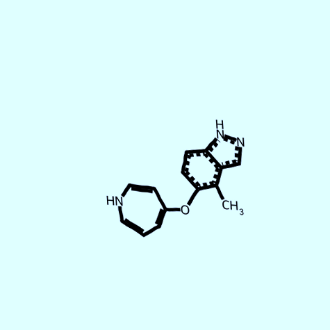 Cc1c(OC2=CC=CNC=C2)ccc2[nH]ncc12